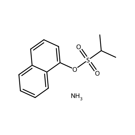 CC(C)S(=O)(=O)Oc1cccc2ccccc12.N